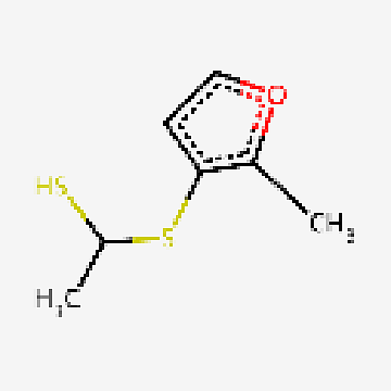 Cc1occc1SC(C)S